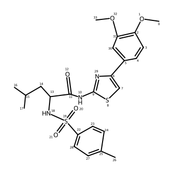 COc1ccc(-c2csc(NC(=O)C(CC(C)C)NS(=O)(=O)c3ccc(C)cc3)n2)cc1OC